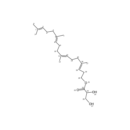 CC(C)=CCCC(C)=CCCC(C)=CCCC(C)=CCCOC(=O)C(O)CO